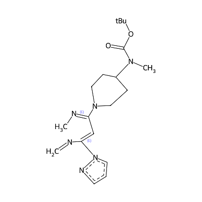 C=N/C(=C\C(=N/C)N1CCC(N(C)C(=O)OC(C)(C)C)CC1)n1cccn1